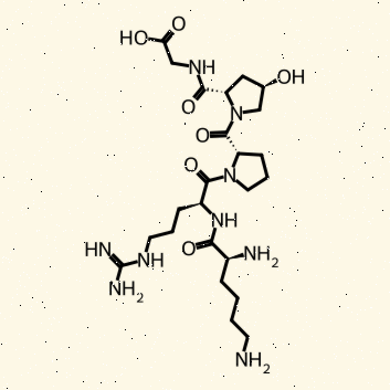 N=C(N)NCCC[C@H](NC(=O)[C@@H](N)CCCCN)C(=O)N1CCC[C@H]1C(=O)N1C[C@H](O)C[C@H]1C(=O)NCC(=O)O